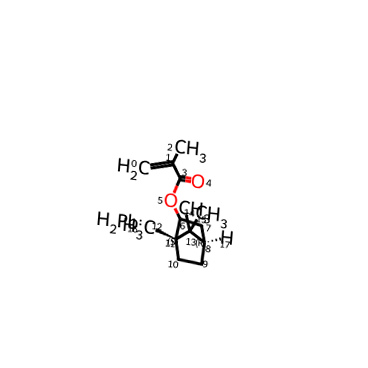 C=C(C)C(=O)OC1C[C@H]2CC[C@@]1(C)C2(C)C.[PbH2]